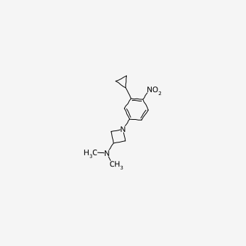 CN(C)C1CN(c2ccc([N+](=O)[O-])c(C3CC3)c2)C1